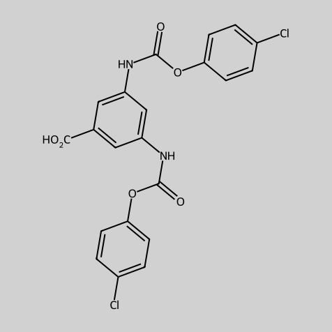 O=C(Nc1cc(NC(=O)Oc2ccc(Cl)cc2)cc(C(=O)O)c1)Oc1ccc(Cl)cc1